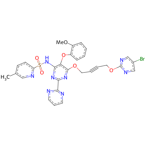 COc1ccccc1Oc1c(NS(=O)(=O)c2ccc(C)cn2)nc(-c2ncccn2)nc1OCC#CCOc1ncc(Br)cn1